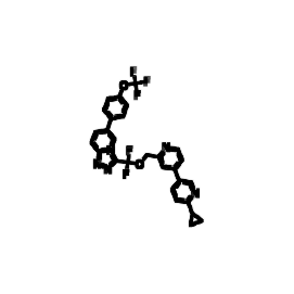 FC(F)(F)Oc1ccc(-c2ccc3nnc(C(F)(F)OCc4cc(-c5ccc(C6CC6)nc5)ccn4)n3c2)cc1